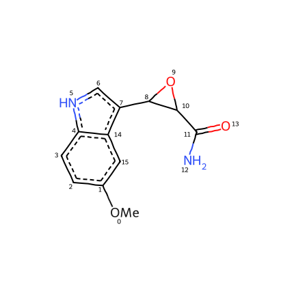 COc1ccc2[nH]cc(C3OC3C(N)=O)c2c1